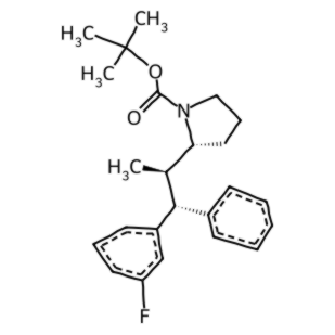 C[C@H]([C@H](c1ccccc1)c1cccc(F)c1)[C@H]1CCCN1C(=O)OC(C)(C)C